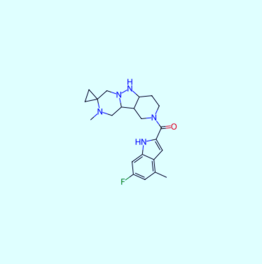 Cc1cc(F)cc2[nH]c(C(=O)N3CCC4NN5CC6(CC6)N(C)CC5C4C3)cc12